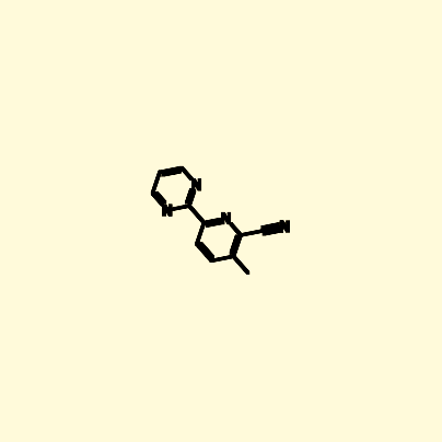 Cc1ccc(-c2ncccn2)nc1C#N